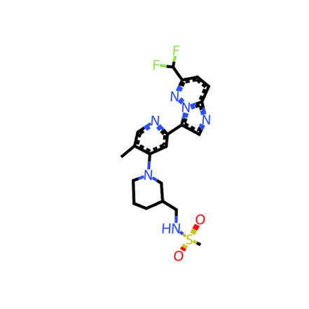 Cc1cnc(-c2cnc3ccc(C(F)F)nn23)cc1N1CCCC(CNS(C)(=O)=O)C1